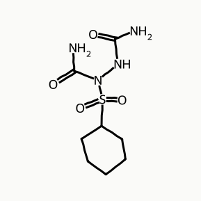 NC(=O)NN(C(N)=O)S(=O)(=O)C1CCCCC1